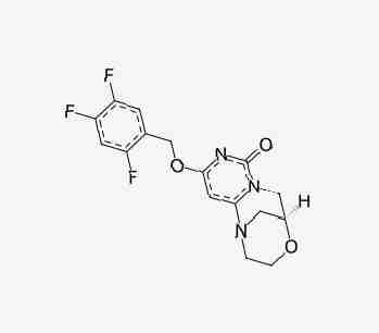 O=c1nc(OCc2cc(F)c(F)cc2F)cc2n1C[C@@H]1CN2CCO1